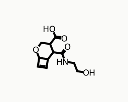 O=C(O)C1COC2C=CC2C1C(=O)NCCO